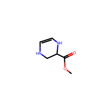 COC(=O)C1CNC=CN1